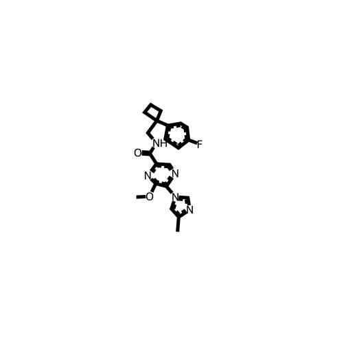 COc1nc(C(=O)NCC2(c3ccc(F)cc3)CCC2)cnc1-n1cnc(C)c1